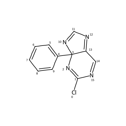 ClC1=NC2(c3ccccc3)N=CN=C2C=N1